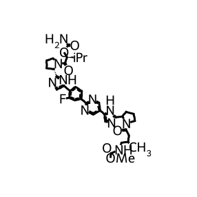 COC(=O)NCC(C)CC(=O)N1CCCC1c1ncc(-c2cnc(-c3ccc(-c4cnc([C@@H]5CCCN5C(=O)[C@@H](OC(N)=O)C(C)C)[nH]4)c(F)c3)nc2)[nH]1